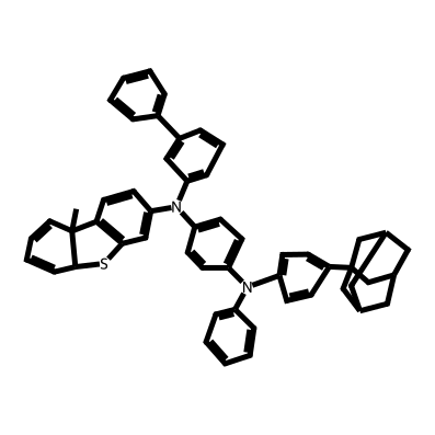 CC12C=CC=CC1Sc1cc(N(c3ccc(N(c4ccccc4)c4ccc(C56CC7CC(CC(C7)C5)C6)cc4)cc3)c3cccc(-c4ccccc4)c3)ccc12